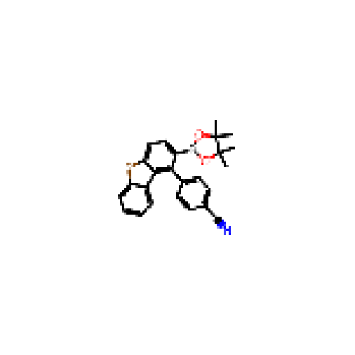 CC1(C)OB(c2ccc3sc4ccccc4c3c2-c2ccc(C#N)cc2)OC1(C)C